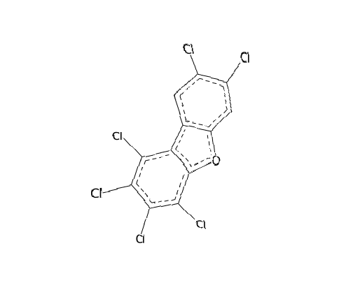 Clc1cc2oc3c(Cl)c(Cl)c(Cl)c(Cl)c3c2cc1Cl